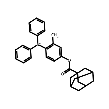 Cc1cc(OC(=O)C23CC4CC(CC(C4)C2)C3)ccc1[S+](c1ccccc1)c1ccccc1